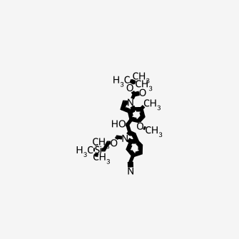 COc1cc(C)c2c(ccn2C(=O)OC(C)(C)C)c1C(O)c1cc2ccc(C#N)cc2n1COCC[Si](C)(C)C